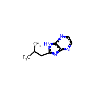 FC(F)(F)C(Cc1nc2nccnc2[nH]1)C(F)(F)F